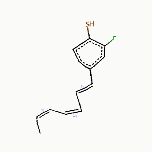 C\C=C/C=C\C=C\c1ccc(S)c(F)c1